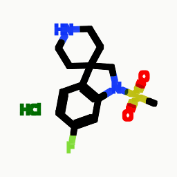 CS(=O)(=O)N1CC2(CCNCC2)c2ccc(F)cc21.Cl